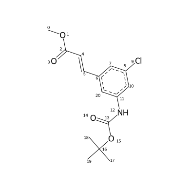 COC(=O)/C=C/c1cc(Cl)cc(NC(=O)OC(C)(C)C)c1